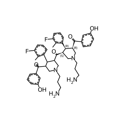 Cc1c(F)cccc1C1C(C(=O)c2cccc(O)c2)CN(CCCN)CC1C(=O)[C@@H]1CN(CCCN)C[C@H](C(=O)c2cccc(O)c2)[C@@H]1c1cccc(F)c1C